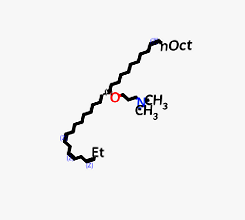 CC/C=C\C/C=C\C/C=C\CCCCCCCC[C@H](CCCCCCCC/C=C\CCCCCCCC)OCCCN(C)C